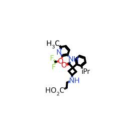 Cc1ccc(NC(=O)C2(c3ccccc3C(C)C)CC(NCCC(=O)O)C2)c(OC(F)F)n1